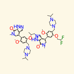 COc1cc(CN2CCN(C(C)C)CC2)c(OC(C)C[n+]2cc3c(-c4cc(OCC(F)F)c(CN5CCN(C(C)C)CC5)cc4OC)cn(C)c(=O)c3[nH]2)cc1-c1cn(C)c(=O)c2[nH]ncc12